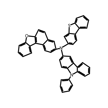 c1ccc(-n2c3ccccc3c3cc(N(c4ccc5c(ccc6oc7ccccc7c65)c4)c4ccc5c(c4)sc4ccccc45)ccc32)cc1